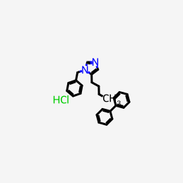 CCCCc1cncn1Cc1ccccc1.Cl.c1ccc(-c2ccccc2)cc1